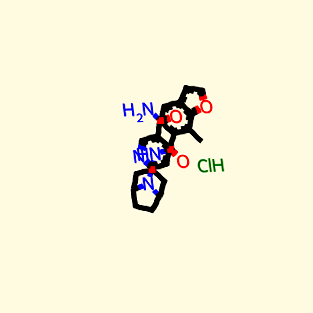 Cc1c(C(=O)NC2CC3CCC(C2)N3c2ccc(C(N)=O)cn2)ccc2ccoc12.Cl